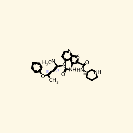 C=N/C(=C\C=C(/C)Oc1ccccc1)N1C(=O)Nc2c(C(=O)N[C@@H]3CCCNC3)sc3nccc1c23